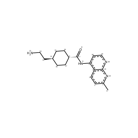 Cc1ccc2c(NC(=O)[C@H]3CC[C@H](CCN)CC3)ccnc2n1